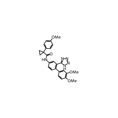 COc1ccc(C2(C(=O)Nc3ccc(-c4ccc(OC)c(OC)c4)c(-c4nnn[nH]4)c3)CC2)cc1